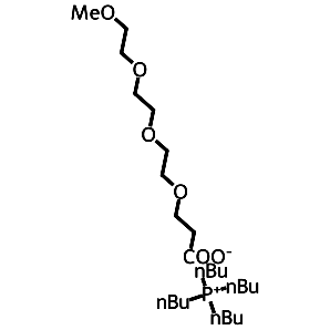 CCCC[P+](CCCC)(CCCC)CCCC.COCCOCCOCCOCCC(=O)[O-]